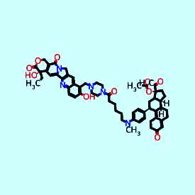 CC[C@@]1(O)C(=O)OCc2c1cc1n(c2=O)Cc2cc3c(CN4CCN(C(=O)CCCCCN(C)c5ccc([C@H]6CC7[C@@H](CC[C@]7(OC(C)=O)C(C)=O)[C@@H]7CCC8=CC(=O)CCC8=C76)cc5)CC4)c(O)ccc3nc2-1